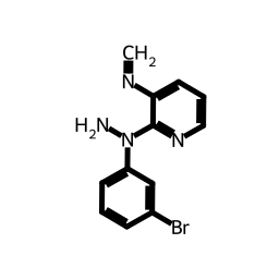 C=Nc1cccnc1N(N)c1cccc(Br)c1